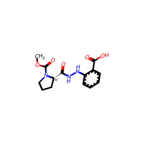 COC(=O)N1CCC[C@H]1C(=O)NNc1ccccc1C(=O)O